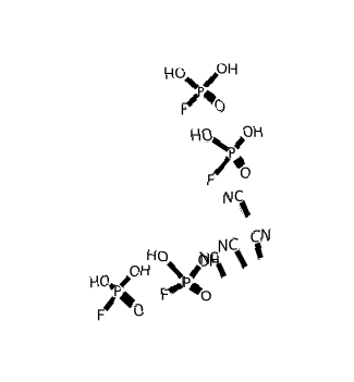 CC#N.CC#N.CC#N.CC#N.O=P(O)(O)F.O=P(O)(O)F.O=P(O)(O)F.O=P(O)(O)F